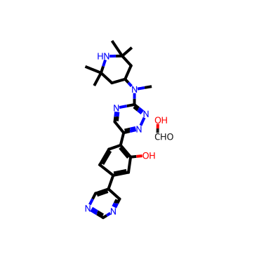 CN(c1ncc(-c2ccc(-c3cncnc3)cc2O)nn1)C1CC(C)(C)NC(C)(C)C1.O=CO